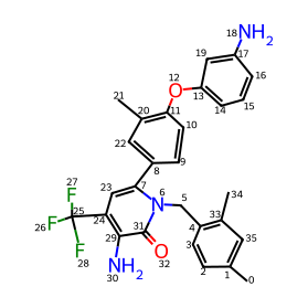 Cc1ccc(Cn2c(-c3ccc(Oc4cccc(N)c4)c(C)c3)cc(C(F)(F)F)c(N)c2=O)c(C)c1